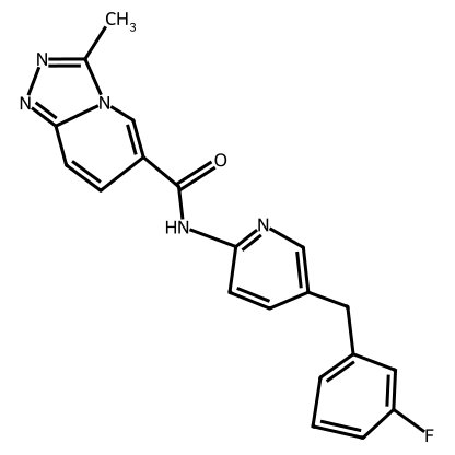 Cc1nnc2ccc(C(=O)Nc3ccc(Cc4cccc(F)c4)cn3)cn12